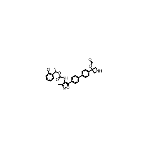 Cc1noc(-c2ccc(-c3ccc(C4(OC=O)CNC4)cc3)cc2)c1NC(=O)O[C@H](C)c1ccccc1Cl